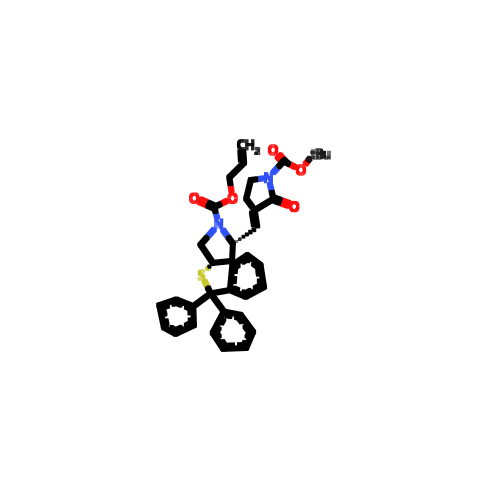 C=CCOC(=O)N1C[C@@H](SC(c2ccccc2)(c2ccccc2)c2ccccc2)C[C@H]1C=C1CCN(C(=O)OC(C)(C)C)C1=O